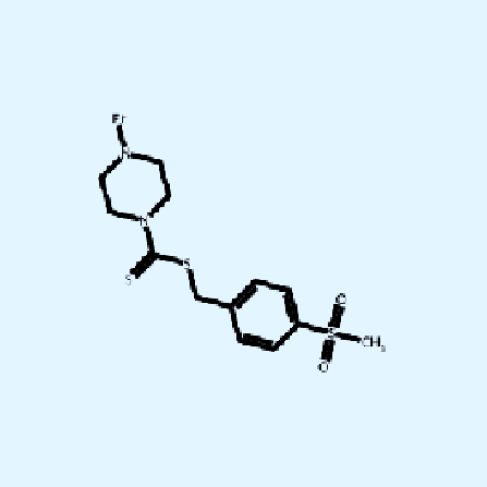 CCN1CCN(C(=S)SCc2ccc(S(C)(=O)=O)cc2)CC1